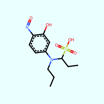 CCCN(c1ccc(N=O)c(O)c1)C(CC)S(=O)(=O)O